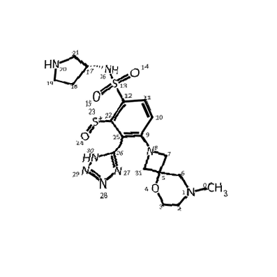 CN1CCOC2(C1)CN(c1ccc(S(=O)(=O)N[C@@H]3CCNC3)c([S+]=O)c1-c1nnn[nH]1)C2